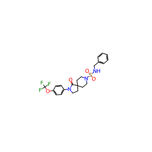 O=C1N(c2ccc(OC(F)(F)F)cc2)CCC12CCN(S(=O)(=O)NCc1ccccc1)CC2